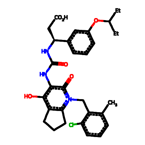 CCC(CC)Oc1cccc([C@H](CC(=O)O)NC(=O)Nc2c(O)c3c(n(Cc4c(C)cccc4Cl)c2=O)CCC3)c1